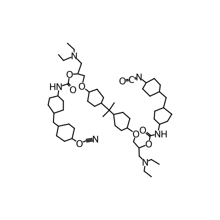 CCN(CC)CC(COC1CCC(C(C)(C)C2CCC(OCC(CN(CC)CC)OC(=O)NC3CCC(CC4CCC(OC#N)CC4)CC3)CC2)CC1)OC(=O)NC1CCC(CC2CCC(N=C=O)CC2)CC1